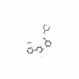 COc1nc(-c2cccc3c2OCCO3)ccc1Nc1cccc(C(=O)NCC2CCNC(=O)C2)c1